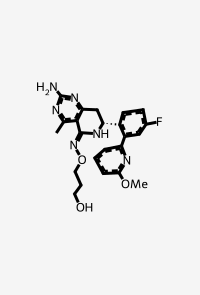 COc1cccc(-c2cc(F)ccc2[C@H]2Cc3nc(N)nc(C)c3/C(=N/OCCCO)N2)n1